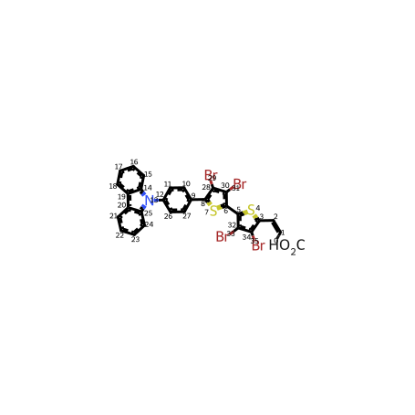 O=C(O)/C=C\c1sc(-c2sc(-c3ccc(-n4c5ccccc5c5ccccc54)cc3)c(Br)c2Br)c(Br)c1Br